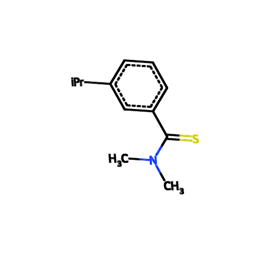 CC(C)c1cccc(C(=S)N(C)C)c1